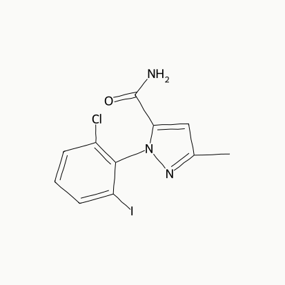 Cc1cc(C(N)=O)n(-c2c(Cl)cccc2I)n1